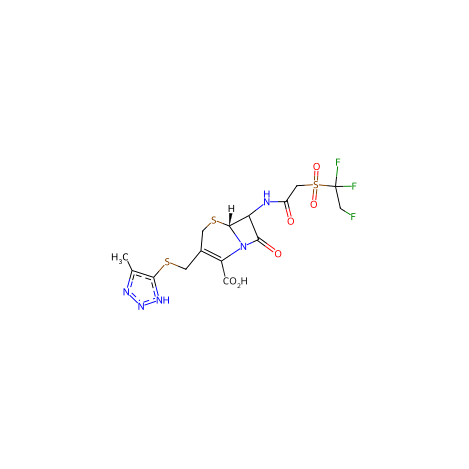 Cc1nn[nH]c1SCC1=C(C(=O)O)N2C(=O)C(NC(=O)CS(=O)(=O)C(F)(F)CF)[C@H]2SC1